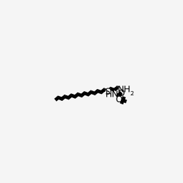 CCCCCCCCCCCCCCCCSCC(CN)NC(=O)OC(C)(C)C